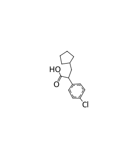 O=C(O)C(CC1CCCC1)c1ccc(Cl)cc1